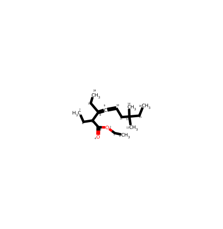 CCOC(=O)C(CC)C(=C=CCC(C)(C)CC)CC